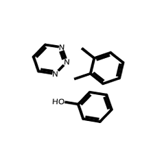 Cc1ccccc1C.Oc1ccccc1.c1cnnnc1